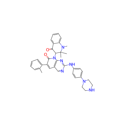 Cc1ccccc1-c1cc2cnc(Nc3ccc(N4CCNCC4)cc3)nc2n(C2C(=O)c3ccccc3N(C)C2(C)C)c1=O